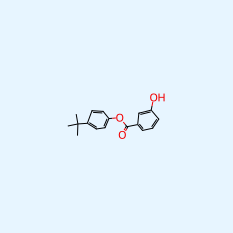 CC(C)(C)c1ccc(OC(=O)c2cccc(O)c2)cc1